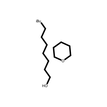 C1CCOCC1.CCC(C)CCCCCCCO